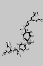 C=CCC(CC=C)CO[SiH2]c1ccc(Nc2ccc([SiH2]OCC(CC=C)CC=C)cc2)cc1